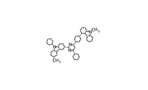 Cc1ccc2c(c1)c1cc(-c3nc(-c4ccccc4)cc(-c4ccc(-c5cccc6c5c5ccccc5n6C)cc4)n3)ccc1n2-c1ccccc1